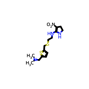 CN(C)Cc1ccc(CSCCNC2=C([N+](=O)[O-])CCN2)s1